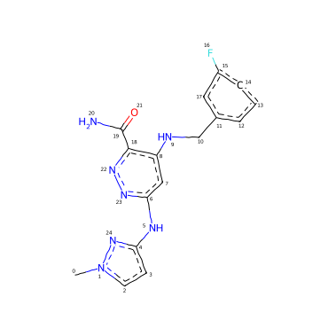 Cn1ccc(Nc2cc(NCc3cccc(F)c3)c(C(N)=O)nn2)n1